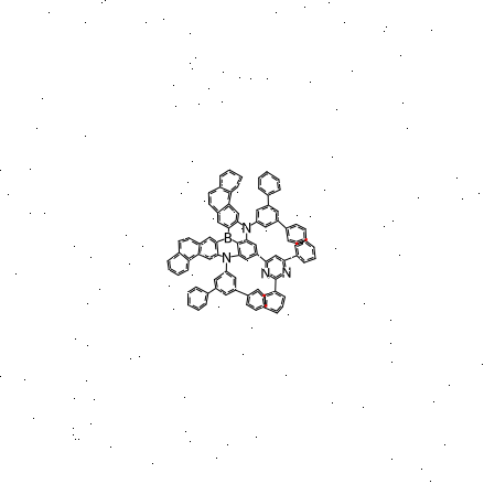 c1ccc(-c2cc(-c3ccccc3)cc(N3c4cc5c(ccc6ccccc65)cc4B4c5cc6ccc7ccccc7c6cc5N(c5cc(-c6ccccc6)cc(-c6ccccc6)c5)c5cc(-c6cc(-c7ccccc7)nc(-c7ccccc7)n6)cc3c54)c2)cc1